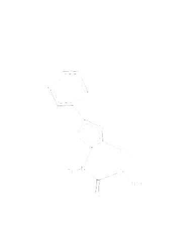 Bc1nc(-c2cccnc2)sc1N(CC)C(=O)OC(C)(C)C